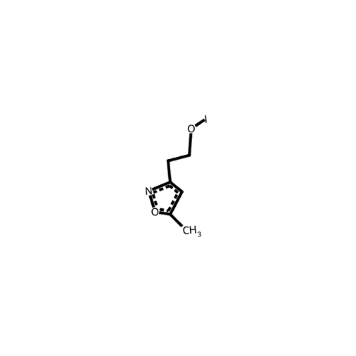 Cc1cc(CCOI)no1